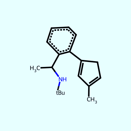 CC1=CCC(c2ccccc2C(C)NC(C)(C)C)=C1